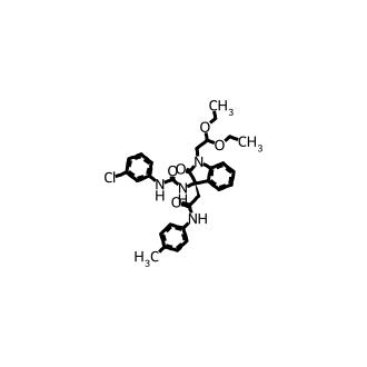 CCOC(CN1C(=O)[C@@](CC(=O)Nc2ccc(C)cc2)(NC(=O)Nc2cccc(Cl)c2)c2ccccc21)OCC